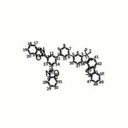 CC1(C)c2cc(-c3cccc(-c4cc(-c5nc6ccccc6o5)cc(-c5nc6ccccc6o5)c4)c3)ccc2-c2c1ccc1c2sc2ccccc21